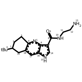 CC(C)(C)C1CCc2nc3c(C(=O)NCCN)c[nH]c3cc2C1